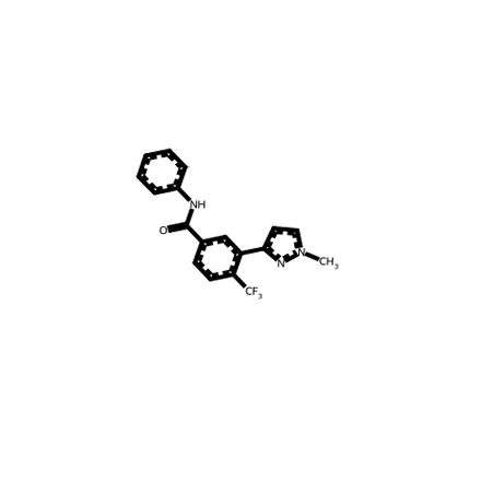 Cn1ccc(-c2cc(C(=O)Nc3[c]cccc3)ccc2C(F)(F)F)n1